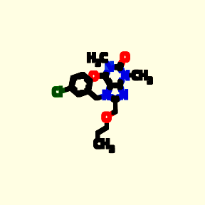 CCCOCc1nc2c(c(=O)n(C)c(=O)n2C)n1Cc1cccc(Cl)c1